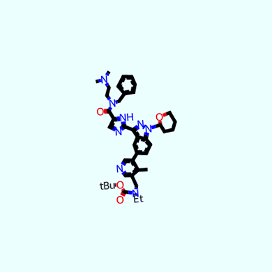 CCN(Cc1cncc(-c2ccc3c(c2)c(-c2ncc(C(=O)N(CCN(C)C)Cc4ccccc4)[nH]2)nn3C2CCCCO2)c1C)C(=O)OC(C)(C)C